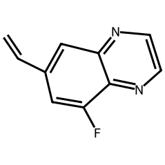 C=Cc1cc(F)c2nccnc2c1